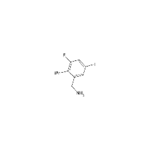 CC(C)c1c(F)cc(I)cc1CN